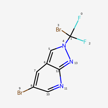 FC(F)(Br)n1cc2cc(Br)cnc2n1